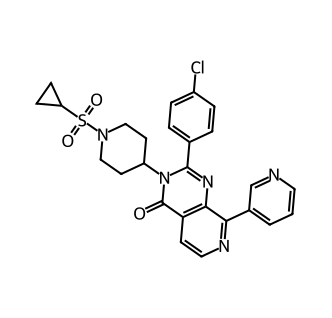 O=c1c2ccnc(-c3cccnc3)c2nc(-c2ccc(Cl)cc2)n1C1CCN(S(=O)(=O)C2CC2)CC1